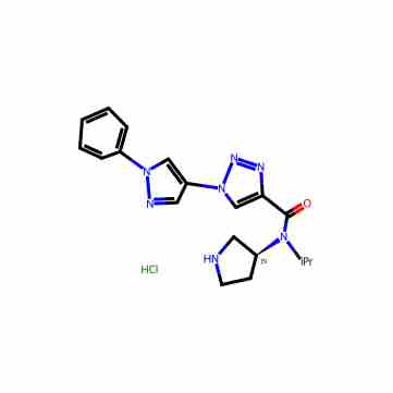 CC(C)N(C(=O)c1cn(-c2cnn(-c3ccccc3)c2)nn1)[C@H]1CCNC1.Cl